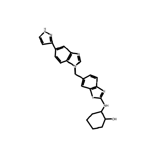 OC1CCCCC1Nc1nc2ccc(Cn3cnc4cc(-c5cc[nH]n5)ccc43)cc2s1